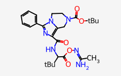 C/C(N)=N/OC(=O)C(NC(=O)c1nc(-c2ccccc2)n2c1CN(C(=O)OC(C)(C)C)CC2)C(C)(C)C